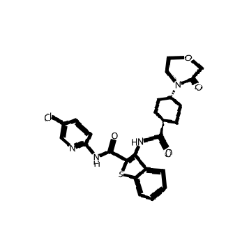 O=C(Nc1ccc(Cl)cn1)c1sc2ccccc2c1NC(=O)[C@H]1CC[C@H](N2CCOCC2=O)CC1